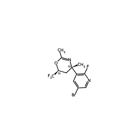 CC1=N[C@](C)(c2cc(Br)cnc2F)C[C@@H](C(F)(F)F)O1